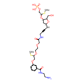 CSSC(COc1cccc(C(=O)NCCN)c1)OCCOCC(=O)NCC#CB[C@H]1C[C@@H](O[C@@H](COP(=O)(O)O)SSC)C(CO)O1